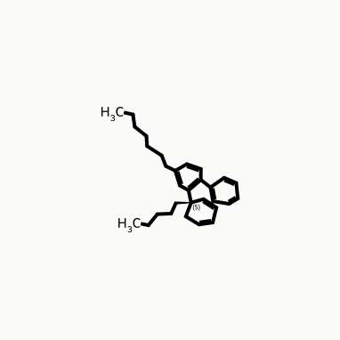 CCCCCCCc1ccc(-c2ccccc2)c([C@]2(CCCCC)C=CC=CC2)c1